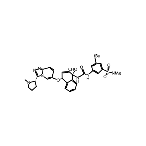 CNS(=O)(=O)c1cc(NC(=O)N[C@@]2(C=O)C=C[C@@H](Oc3ccc4nnc([C@@H]5CCCN5C)n4c3)c3ccccc32)cc(C(C)(C)C)c1